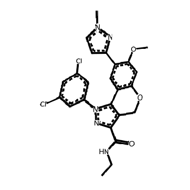 CCNC(=O)c1nn(-c2cc(Cl)cc(Cl)c2)c2c1COc1cc(OC)c(-c3ccn(C)n3)cc1-2